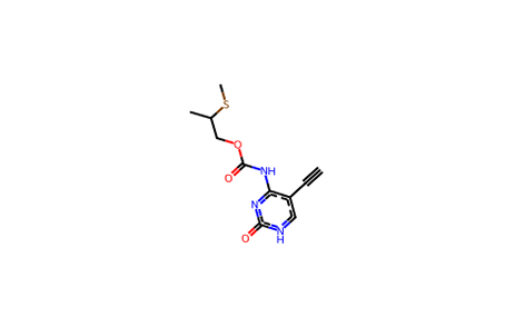 C#Cc1c[nH]c(=O)nc1NC(=O)OCC(C)SC